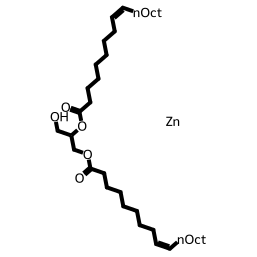 CCCCCCCC/C=C\CCCCCCCC(=O)OCC(CO)OC(=O)CCCCCCC/C=C\CCCCCCCC.[Zn]